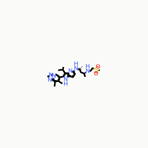 Cc1c(-c2[nH]c3ccc(N[C@H](C)CC(C)NCCS(C)(=O)=O)nc3c2C(C)C)cn2ncnc2c1C